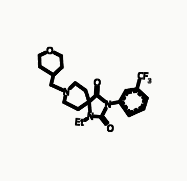 CCN1C(=O)N(c2cccc(C(F)(F)F)c2)C(=O)C12CCN(CC1CCOCC1)CC2